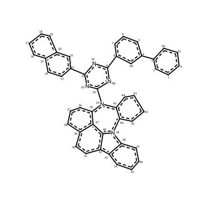 c1ccc(-c2cccc(-c3nc(-c4ccc5ccccc5c4)nc(-n4c5cccc6ccc7c8ccccc8n(c8ccccc84)c7c65)n3)c2)cc1